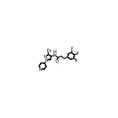 CCc1nn(-c2ccncc2)cc1NC(=O)CCc1cc(F)c(F)c(F)c1